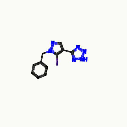 Ic1c(-c2nn[nH]n2)cnn1Cc1ccccc1